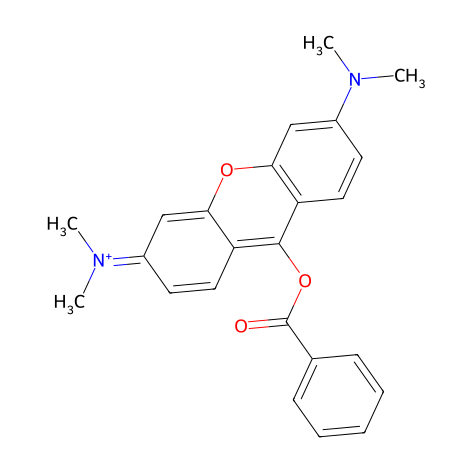 CN(C)c1ccc2c(OC(=O)c3ccccc3)c3ccc(=[N+](C)C)cc-3oc2c1